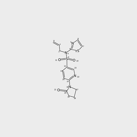 C=CCN(c1nccs1)S(=O)(=O)c1ccc(N2CCCC2=O)nc1